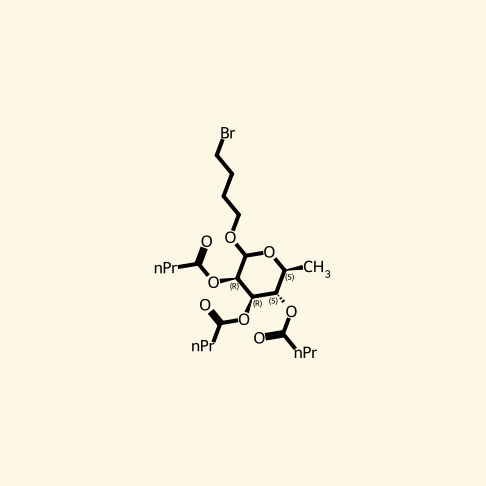 CCCC(=O)O[C@@H]1[C@@H](OC(=O)CCC)[C@@H](OC(=O)CCC)C(OCCCCBr)O[C@H]1C